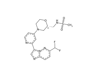 CS(=O)(=O)NC[C@@H]1CN(c2ccnc(-c3cnc4ccc(C(F)F)nn34)c2)CCO1